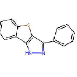 c1ccc(-c2n[nH]c3c2sc2ccccc23)cc1